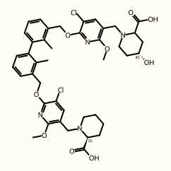 COc1nc(OCc2cccc(-c3cccc(COc4nc(OC)c(CN5CCCC[C@H]5C(=O)O)cc4Cl)c3C)c2C)c(Cl)cc1CN1CC[C@@H](O)CC1C(=O)O